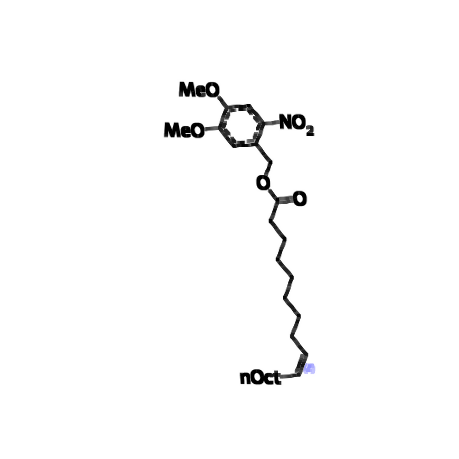 CCCCCCCC/C=C\CCCCCCCC(=O)OCc1cc(OC)c(OC)cc1[N+](=O)[O-]